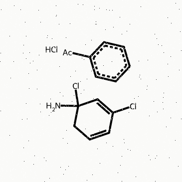 CC(=O)c1ccccc1.Cl.NC1(Cl)C=C(Cl)C=CC1